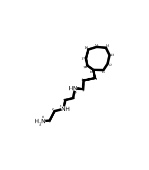 NCCNCCNCCCC1CCCCCCCC1